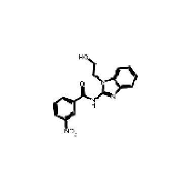 O=C(Nc1nc2ccccc2n1CCO)c1cccc([N+](=O)[O-])c1